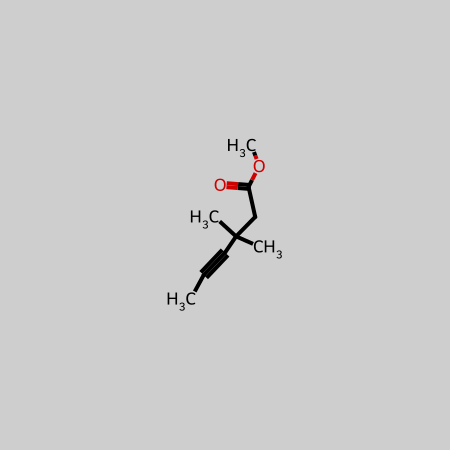 CC#CC(C)(C)CC(=O)OC